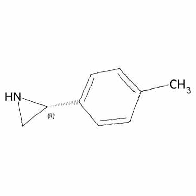 Cc1ccc([C@@H]2CN2)cc1